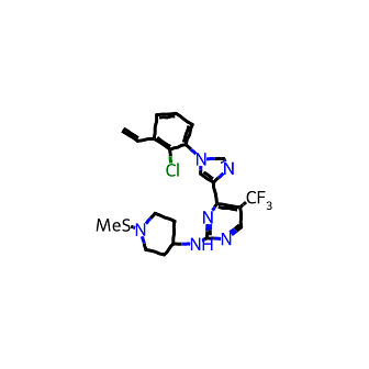 C=Cc1cccc(-n2cnc(-c3nc(NC4CCN(SC)CC4)ncc3C(F)(F)F)c2)c1Cl